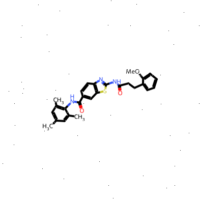 COc1ccccc1CCC(=O)Nc1nc2ccc(C(=O)Nc3c(C)cc(C)cc3C)cc2s1